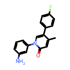 Cc1cc(=O)n(-c2cccc(N)c2)cc1-c1ccc(F)cc1